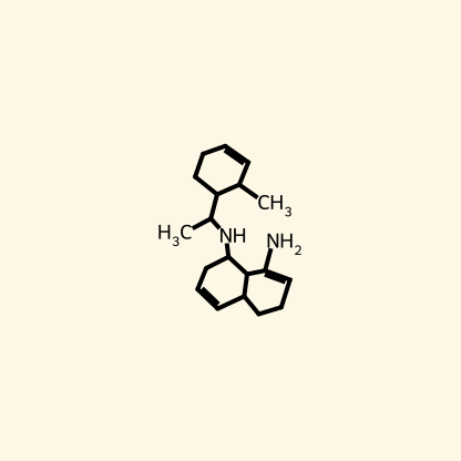 CC1C=CCCC1C(C)NC1CC=CC2CCC=C(N)C21